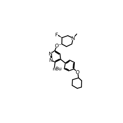 CCCCc1nnc(O[C@H]2CCN(C)C[C@@H]2F)cc1-c1ccc(OC2CCCCC2)cc1